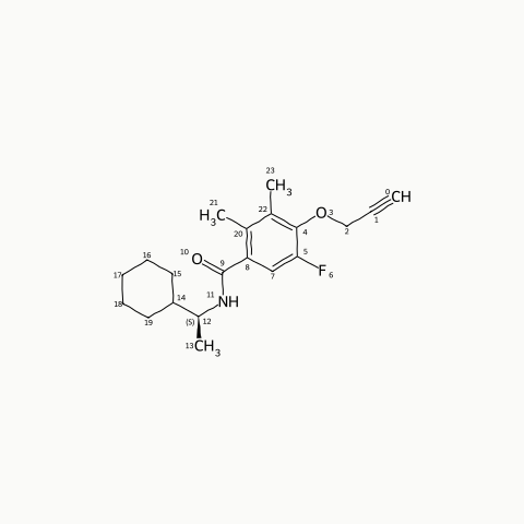 C#CCOc1c(F)cc(C(=O)N[C@@H](C)C2CCCCC2)c(C)c1C